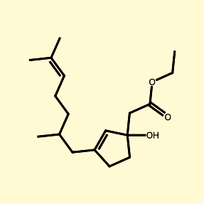 CCOC(=O)CC1(O)C=C(CC(C)CCC=C(C)C)CC1